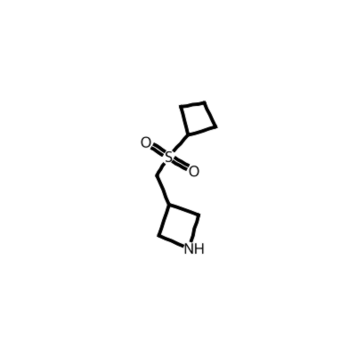 O=S(=O)(CC1CNC1)C1CCC1